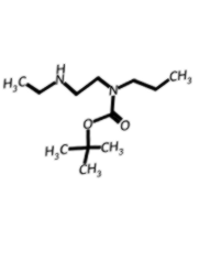 CCCN(CCNCC)C(=O)OC(C)(C)C